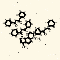 Cc1ccnc2c3c(ccc12)N(C)CC=C3.O=C(CC(=O)c1ccccc1)c1ccccc1.O=C(CC(=O)c1ccccc1)c1ccccc1.O=C(CC(=O)c1ccccc1)c1ccccc1